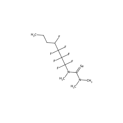 CCCC(F)C(F)(F)C(F)(F)C(F)(F)N(C)C(=[Se])N(C)C